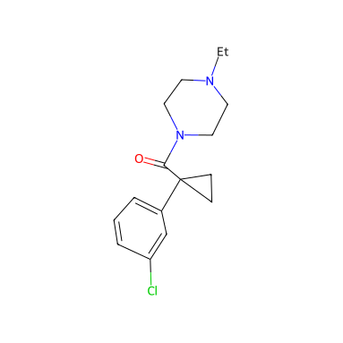 CCN1CCN(C(=O)C2(c3cccc(Cl)c3)CC2)CC1